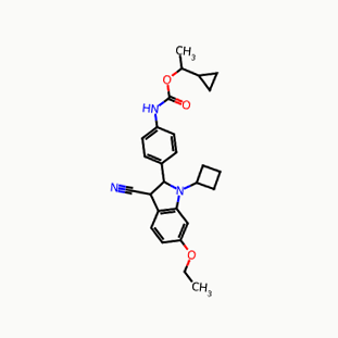 CCOc1ccc2c(c1)N(C1CCC1)C(c1ccc(NC(=O)OC(C)C3CC3)cc1)C2C#N